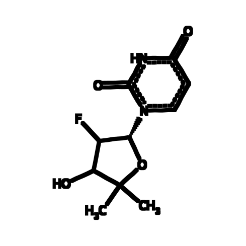 CC1(C)O[C@@H](n2ccc(=O)[nH]c2=O)C(F)C1O